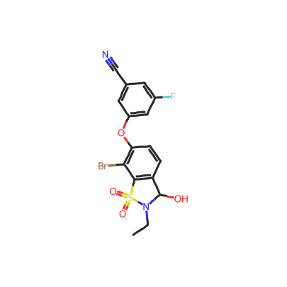 CCN1C(O)c2ccc(Oc3cc(F)cc(C#N)c3)c(Br)c2S1(=O)=O